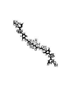 CCOc1nc(C)cc(-c2nc(-c3cc(C)c(OCC(O)CNC(=O)C(O)C(O)C(=O)NCC(O)COc4c(C)cc(-c5noc(-c6cc(C)nc(OCC)n6)n5)cc4C)c(C)c3)no2)n1